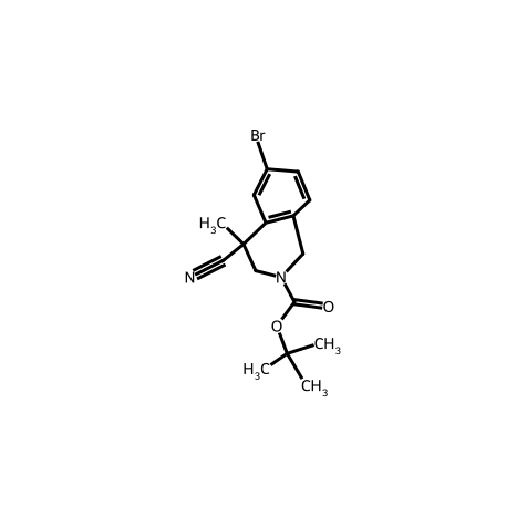 CC(C)(C)OC(=O)N1Cc2ccc(Br)cc2C(C)(C#N)C1